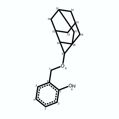 Oc1ccccc1COC1C2C3CC4CC(C3)CC12C4